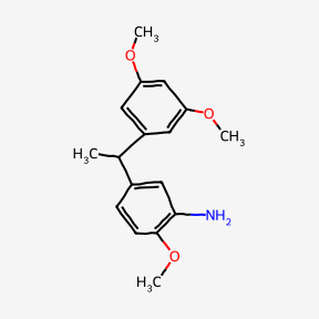 COc1cc(OC)cc(C(C)c2ccc(OC)c(N)c2)c1